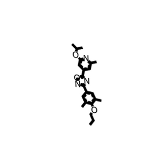 CCCOc1c(C)cc(-c2noc(-c3cc(C)nc(OC(C)C)c3)n2)cc1C